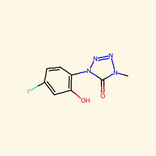 Cn1nnn(-c2ccc(F)cc2O)c1=O